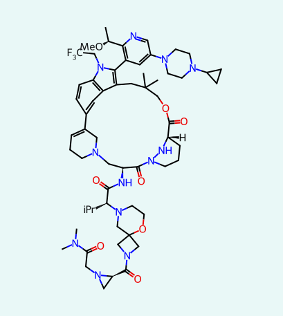 CO[C@@H](C)c1ncc(N2CCN(C3CC3)CC2)cc1-c1c2c3cc(ccc3n1CC(F)(F)F)C1=CCCN(C1)C[C@H](NC(=O)[C@H](C(C)C)N1CCOC3(CN(C(=O)[C@H]4CN4CC(=O)N(C)C)C3)C1)C(=O)N1CCC[C@H](N1)C(=O)OCC(C)(C)C2